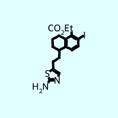 CCOC(=O)c1c(I)ccc2c1CCCC2CCc1cnc(N)s1